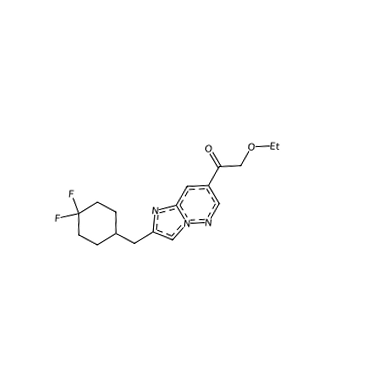 CCOCC(=O)c1cnn2cc(CC3CCC(F)(F)CC3)nc2c1